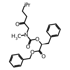 CC(C)CCC(=O)CN(C)C(=O)O[C@@H](Cc1ccccc1)C(=O)OCc1ccccc1